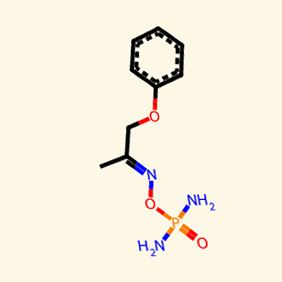 CC(COc1ccccc1)=NOP(N)(N)=O